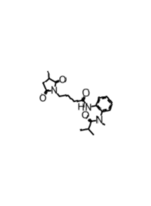 CC(C)C(=O)N(C)c1ccccc1NC(=O)CCCN1C(=O)CC(C)C1=O